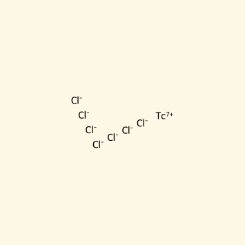 [Cl-].[Cl-].[Cl-].[Cl-].[Cl-].[Cl-].[Cl-].[Tc+7]